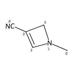 CN1C=C(C#N)C1